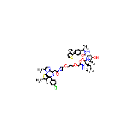 Cc1ccsc1-c1ccc(C(C)NC(=O)[C@@H]2C[C@@H](O)CN2C(=O)[C@@H](NC(=O)COCCCOC2CN(C(=O)CC3N=C(c4ccc(Cl)cc4)c4c(sc(C)c4C)-n4c(C)cnc43)C2)C(C)(C)C)cc1